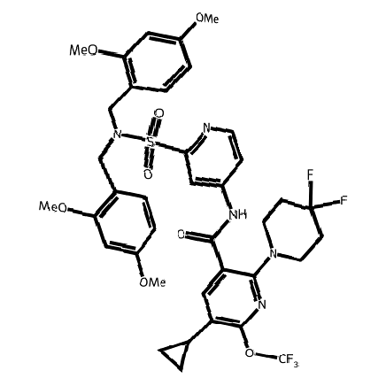 COc1ccc(CN(Cc2ccc(OC)cc2OC)S(=O)(=O)c2cc(NC(=O)c3cc(C4CC4)c(OC(F)(F)F)nc3N3CCC(F)(F)CC3)ccn2)c(OC)c1